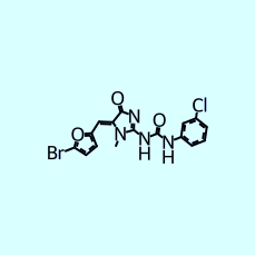 CN1C(NC(=O)Nc2cccc(Cl)c2)=NC(=O)/C1=C/c1ccc(Br)o1